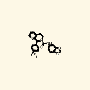 O=C(Nc1ccc2c(c1)OCO2)N1CCc2cccnc2C1c1ccc(C(F)(F)F)cc1